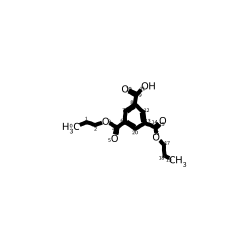 CCCOC(=O)c1cc(C(=O)O)cc(C(=O)OCCC)c1